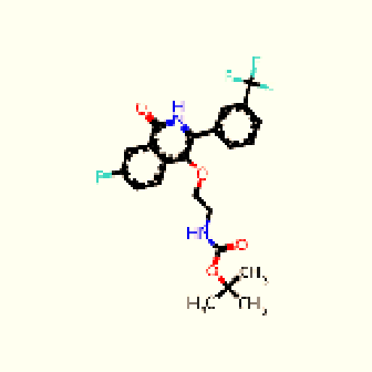 CC(C)(C)OC(=O)NCCOc1c(-c2cccc(C(F)(F)F)c2)[nH]c(=O)c2cc(F)ccc12